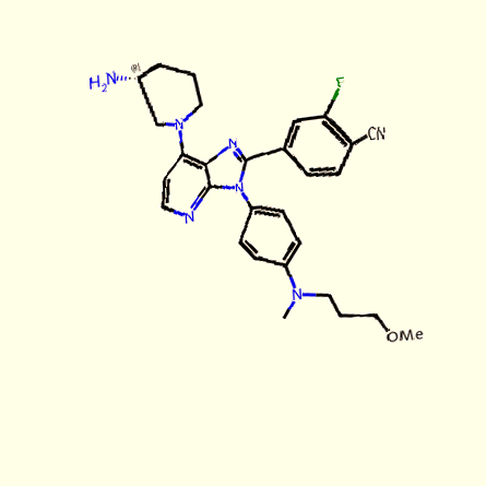 COCCCN(C)c1ccc(-n2c(-c3ccc(C#N)c(F)c3)nc3c(N4CCC[C@@H](N)C4)ccnc32)cc1